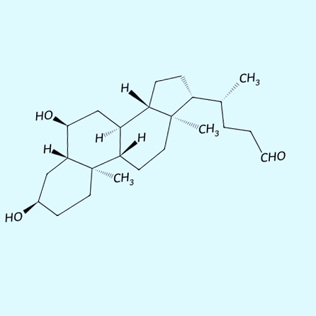 C[C@H](CCC=O)[C@H]1CC[C@H]2[C@@H]3C[C@H](O)[C@H]4C[C@H](O)CC[C@]4(C)[C@H]3CC[C@]12C